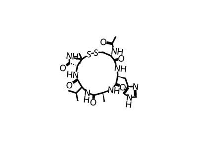 CC(=O)N[C@H]1CSSC(C)(C)[C@@H](C(N)=O)NC(=O)C(C(C)C)NC(=O)[C@H](C)NC(=O)[C@H](Cc2c[nH]cn2)NC1=O